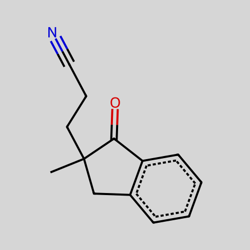 CC1(CCC#N)Cc2ccccc2C1=O